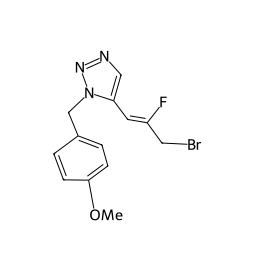 COc1ccc(Cn2nncc2/C=C(\F)CBr)cc1